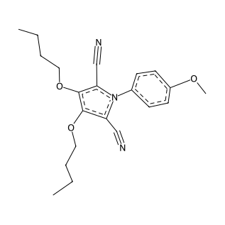 CCCCOc1c(OCCCC)c(C#N)n(-c2ccc(OC)cc2)c1C#N